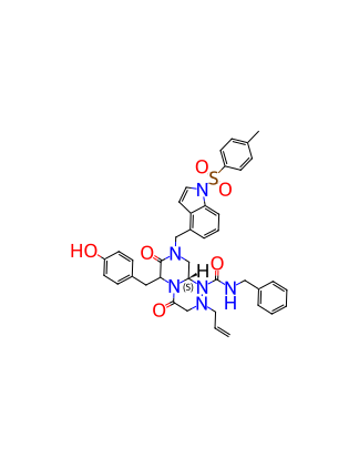 C=CCN1CC(=O)N2C(Cc3ccc(O)cc3)C(=O)N(Cc3cccc4c3ccn4S(=O)(=O)c3ccc(C)cc3)C[C@@H]2N1C(=O)NCc1ccccc1